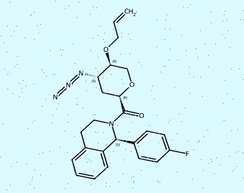 C=CCO[C@H]1CO[C@@H](C(=O)N2CCc3ccccc3[C@@H]2c2ccc(F)cc2)C[C@@H]1N=[N+]=[N-]